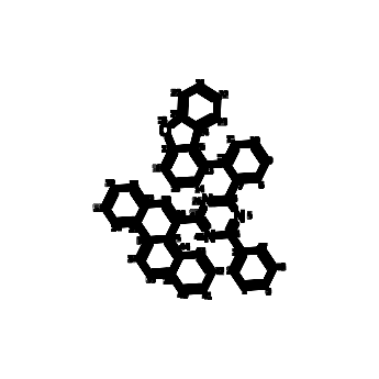 c1ccc(-c2nc(-c3ccccc3-c3cccc4oc5ccccc5c34)nc(-c3cc4ccccc4c4ccc5ccccc5c34)n2)cc1